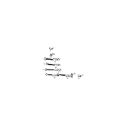 O=C([O-])[O-].O=C([O-])[O-].O=C([O-])[O-].O=C([O-])[O-].O=C([O-])[O-].[Al+3].[Al+3].[Ca+2].[Ca+2]